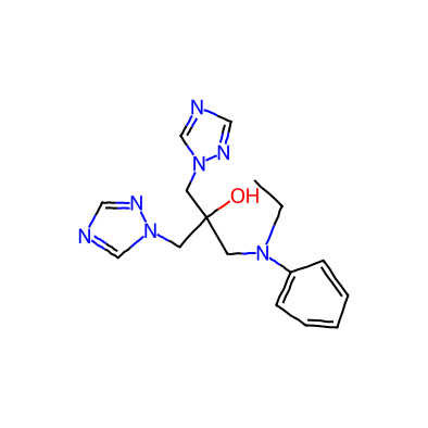 CCN(CC(O)(Cn1cncn1)Cn1cncn1)c1ccccc1